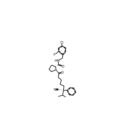 CC(C)[C@@](C#N)(CCCCC(=O)N1CCC[C@@H]1C(=O)NCc1ccc(Cl)cc1F)c1ccccc1